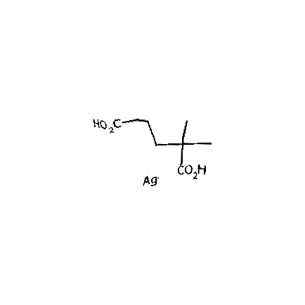 CC(C)(CCC(=O)O)C(=O)O.[Ag]